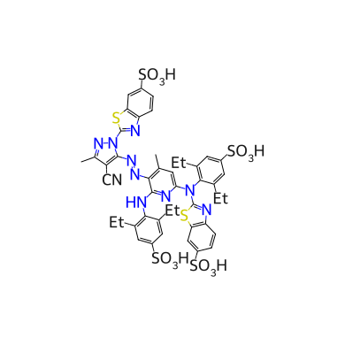 CCc1cc(S(=O)(=O)O)cc(CC)c1Nc1nc(N(c2nc3ccc(S(=O)(=O)O)cc3s2)c2c(CC)cc(S(=O)(=O)O)cc2CC)cc(C)c1N=Nc1c(C#N)c(C)nn1-c1nc2ccc(S(=O)(=O)O)cc2s1